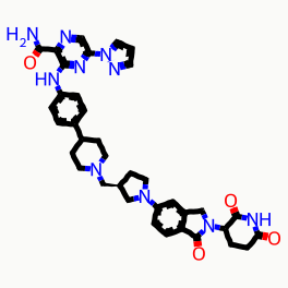 NC(=O)c1ncc(-n2cccn2)nc1Nc1ccc(C2CCN(C[C@H]3CCN(c4ccc5c(c4)CN(C4CCC(=O)NC4=O)C5=O)C3)CC2)cc1